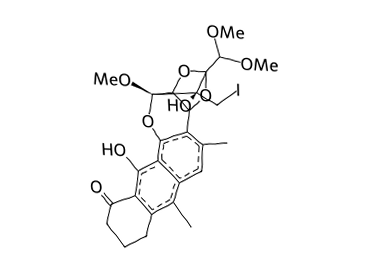 COC(OC)C12OC3c4c(C)cc5c(C)c6c(c(O)c5c4O[C@](OC)(C3O1)[C@@]2(O)CI)C(=O)CCC6